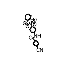 N#Cc1ccc(C(=O)Nc2ccc(N3S(=O)(=O)c4ccccc4S3(=O)=O)cc2)cc1